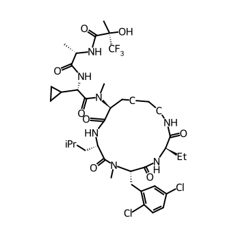 CC[C@H]1NC(=O)[C@H](Cc2cc(Cl)ccc2Cl)N(C)C(=O)[C@H](CC(C)C)NC(=O)[C@@H](N(C)C(=O)[C@@H](NC(=O)[C@H](C)NC(=O)[C@@](C)(O)C(F)(F)F)C2CC2)CCCCNC1=O